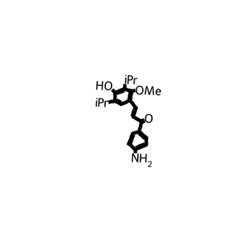 COc1c(C=CC(=O)c2ccc(N)cc2)cc(C(C)C)c(O)c1C(C)C